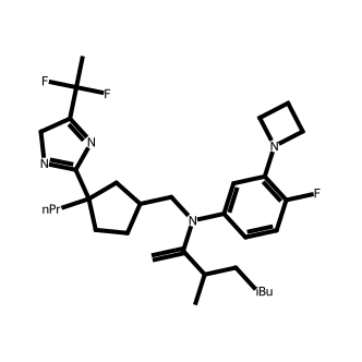 C=C(C(C)CC(C)CC)N(CC1CCC(CCC)(C2=NCC(C(C)(F)F)=N2)C1)c1ccc(F)c(N2CCC2)c1